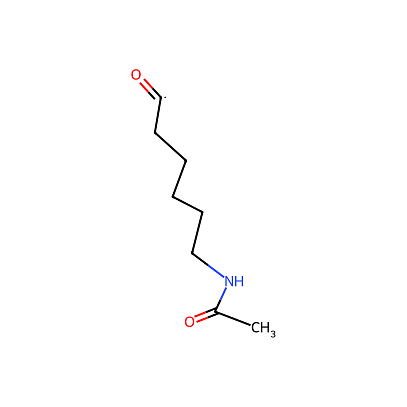 CC(=O)NCCCCC[C]=O